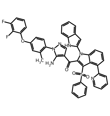 Cc1cc(Oc2cccc(F)c2F)ccc1-n1ncc(C(=O)c2c(S(=O)(=O)c3ccccc3)c3c(-c4ccccn4)cccc3n2-c2cc3ccccc3[nH]2)c1N